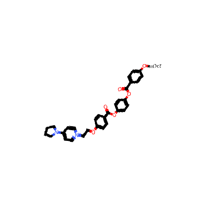 CCCCCCCCOc1ccc(C(=O)Oc2ccc(OC(=O)c3ccc(OCC[n+]4ccc(N5CCCC5)cc4)cc3)cc2)cc1